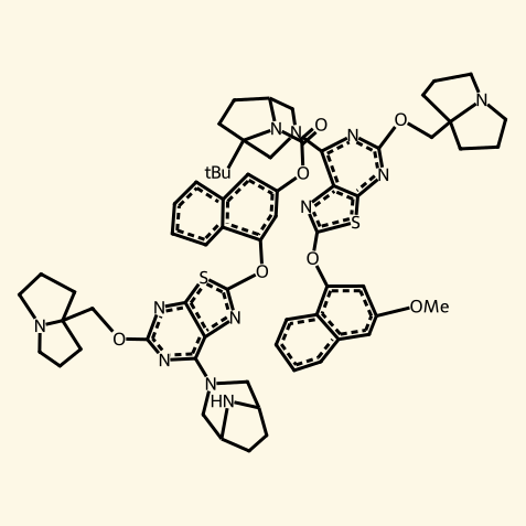 COc1cc(Oc2nc3c(N4CC5CCC(C(C)(C)C)(C4)N5C(=O)Oc4cc(Oc5nc6c(N7CC8CCC(C7)N8)nc(OCC78CCCN7CCC8)nc6s5)c5ccccc5c4)nc(OCC45CCCN4CCC5)nc3s2)c2ccccc2c1